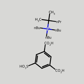 CCCC[N+](CCCC)(CCCC)C(C)(C)CCC.O=C(O)c1cc(C(=O)O)cc(S(=O)(=O)O)c1